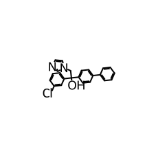 OC(Cn1ccnc1)(c1ccc(-c2ccccc2)cc1)c1cccc(Cl)c1